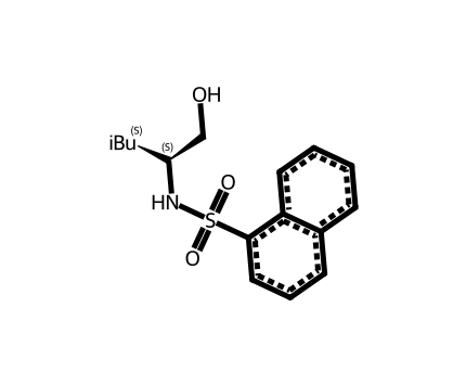 CC[C@H](C)[C@@H](CO)NS(=O)(=O)c1cccc2ccccc12